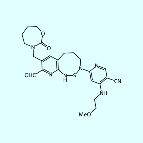 COCCNc1cc(N2CCCc3cc(CN4CCCCOC4=O)c(C=O)nc3NS2)ncc1C#N